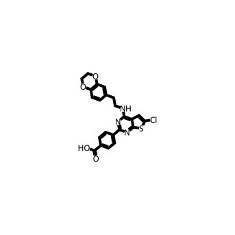 O=C(O)c1ccc(-c2nc(NCCc3ccc4c(c3)OCCO4)c3cc(Cl)sc3n2)cc1